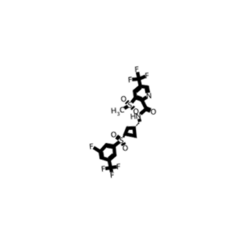 CS(=O)(=O)c1cc(C(F)(F)F)cnc1C(=O)NC[C@H]1C[C@H](S(=O)(=O)c2cc(F)cc(C(F)(F)F)c2)C1